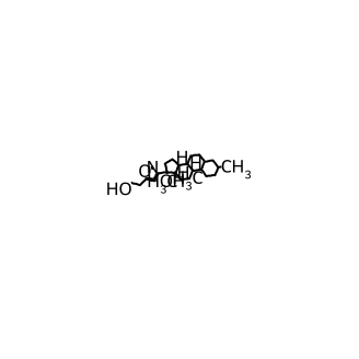 CC1CC[C@@]2(C)C(CC[C@@H]3[C@H]2CC[C@@]2(C)[C@H]3CCC2(O)c2cc(CCO)on2)C1